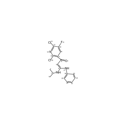 CC(C)N/C(=C/C(=O)c1cc(F)c(Cl)nc1Cl)Nc1ccccc1